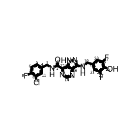 O=C(NCc1ccc(F)c(Cl)c1)c1ncnc2c(NCc3cc(F)c(O)c(F)c3)n[nH]c12